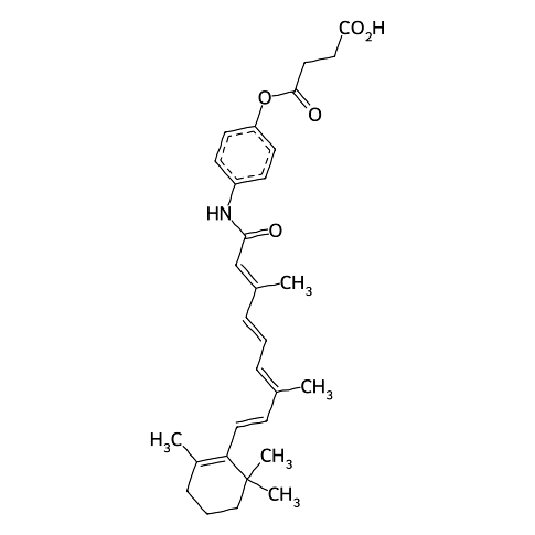 CC(C=CC1=C(C)CCCC1(C)C)=C/C=C/C(C)=C/C(=O)Nc1ccc(OC(=O)CCC(=O)O)cc1